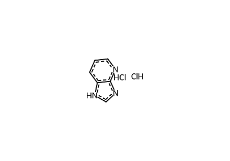 Cl.Cl.c1cnc2nc[nH]c2c1